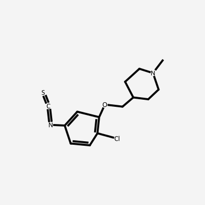 CN1CCC(COc2cc(N=C=S)ccc2Cl)CC1